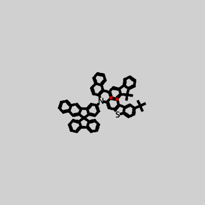 CC(C)(C)c1ccc2sc3cc(N(c4ccc5c(c4)-c4cc6ccccc6cc4C54c5ccccc5-c5ccccc54)c4ccc5ccccc5c4-c4ccc5c(c4)-c4ccccc4C5(C)C)ccc3c2c1